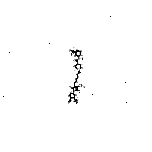 CC1=C(CCCCCCN2CCN(C(=O)Nc3cccc(C(F)(F)F)c3)CC2)C(=O)N(c2ccc(C#N)c(C(F)(F)F)c2)C1=O